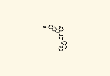 N#Cc1ccc2nc3c(cc(-c4ccc(-c5ccc6ccc7cccnc7c6n5)cc4)c4cccnc43)cc2c1